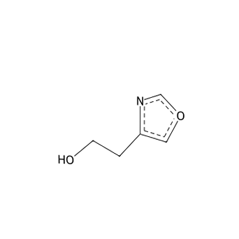 OCCc1cocn1